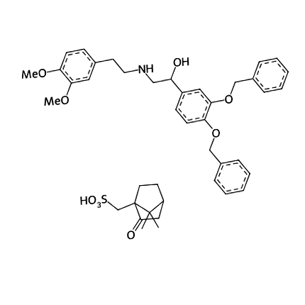 CC1(C)C2CCC1(CS(=O)(=O)O)C(=O)C2.COc1ccc(CCNCC(O)c2ccc(OCc3ccccc3)c(OCc3ccccc3)c2)cc1OC